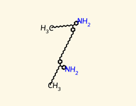 CCCCCCCCCCCCC(c1ccc(N)cc1)c1ccc(CCCCCCCCCCCCCCCCc2ccc(C(CCCCCCCCCCCC)c3ccc(N)cc3)cc2)cc1